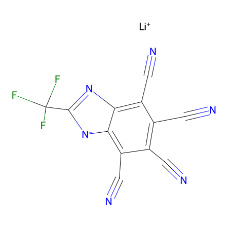 N#Cc1c(C#N)c(C#N)c2[n-]c(C(F)(F)F)nc2c1C#N.[Li+]